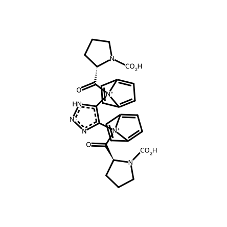 O=C(O)N1CCC[C@H]1C(=O)[N+]1(c2nn[nH]c2[N+]2(C(=O)[C@@H]3CCCN3C(=O)O)C3=CC=C2C=C3)C2=CC=C1C=C2